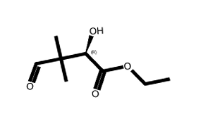 CCOC(=O)[C@H](O)C(C)(C)C=O